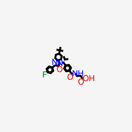 CC(C)[C@H](c1ccc(C(=O)NCCC(=O)O)cc1)N1C(=O)C(c2ccc(F)cc2)=NC12CCC(C(C)(C)C)CC2